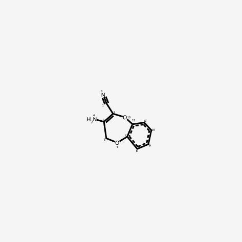 N#CC1=C(N)COc2ccccc2O1